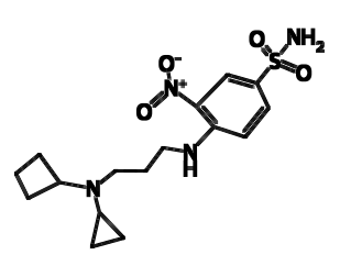 NS(=O)(=O)c1ccc(NCCCN(C2CCC2)C2CC2)c([N+](=O)[O-])c1